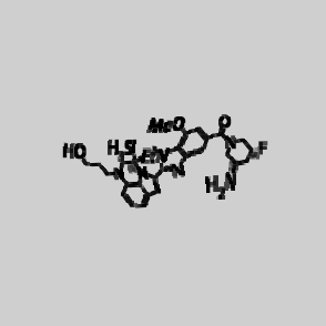 CC[C@]1([SiH3])CN(CCCO)c2cccc3cc(-c4nc5cc(C(=O)N6C[C@H](N)C[C@@H](F)C6)cc(OC)c5n4C)n1c23